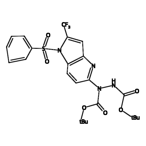 CC(C)(C)OC(=O)NN(C(=O)OC(C)(C)C)c1ccc2c(cc(C(F)(F)F)n2S(=O)(=O)c2ccccc2)n1